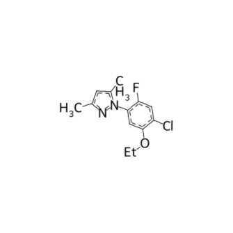 CCOc1cc(-n2nc(C)cc2C)c(F)cc1Cl